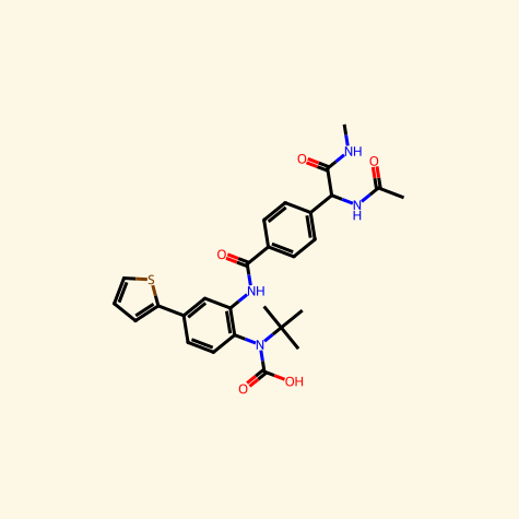 CNC(=O)C(NC(C)=O)c1ccc(C(=O)Nc2cc(-c3cccs3)ccc2N(C(=O)O)C(C)(C)C)cc1